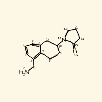 NCc1cccc2c1CCC(N1CCCC1=O)C2